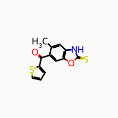 Cc1cc2[nH]c(=S)oc2cc1C(=O)c1cccs1